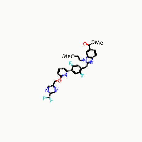 COCCn1c(Cc2cc(F)c(-c3cccc(OCc4cnc(C(F)F)cn4)n3)cc2F)nc2ccc(C(=O)OC)cc21